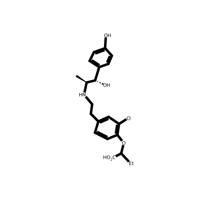 CCC(Oc1ccc(CCN[C@@H](C)[C@@H](O)c2ccc(O)cc2)cc1Cl)C(=O)O